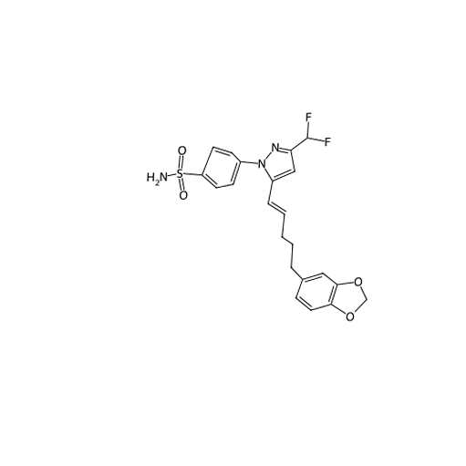 NS(=O)(=O)c1ccc(-n2nc(C(F)F)cc2C=CCCCc2ccc3c(c2)OCO3)cc1